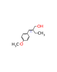 CC/C(=C\c1ccc(OC)cc1)CO